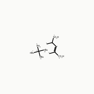 CC(=CC(C)S(=O)(=O)O)C(=O)O.CCCCC(P)(CCCC)CCCC